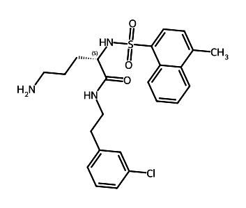 Cc1ccc(S(=O)(=O)N[C@@H](CCCN)C(=O)NCCc2cccc(Cl)c2)c2ccccc12